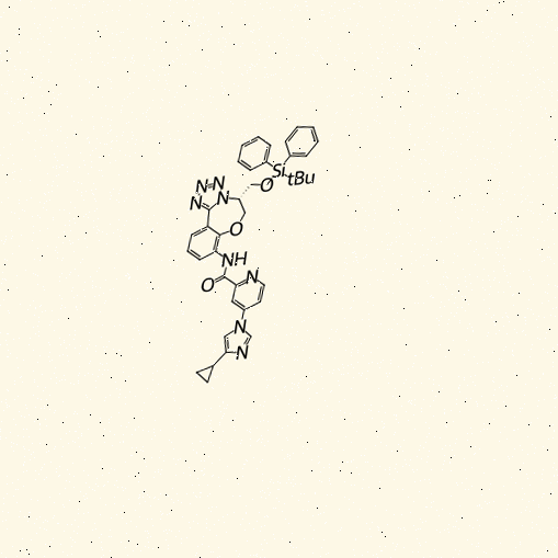 CC(C)(C)[Si](OC[C@@H]1COc2c(NC(=O)c3cc(-n4cnc(C5CC5)c4)ccn3)cccc2-c2nnnn21)(c1ccccc1)c1ccccc1